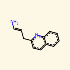 NC=CCc1ccc2ccccc2n1